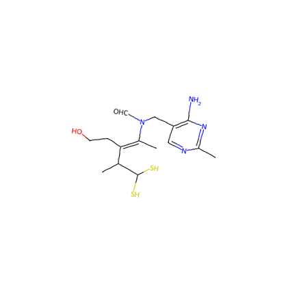 CC(=C(CCO)C(C)C(S)S)N(C=O)Cc1cnc(C)nc1N